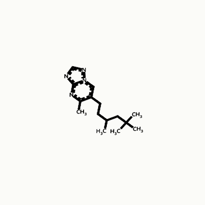 Cc1nc2ncnn2cc1CCC(C)CC(C)(C)C